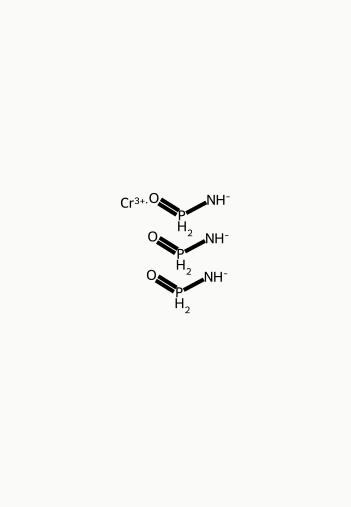 [Cr+3].[NH-][PH2]=O.[NH-][PH2]=O.[NH-][PH2]=O